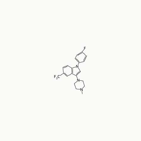 CN1CCN(c2cn(-c3ccc(F)cc3)c3ccc(C(F)(F)F)cc23)CC1